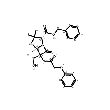 CC1(C)S[C@H]2N(C(=O)[C@]2(CO)NC(=O)COc2ccccc2)[C@H]1C(=O)OCc1ccccc1